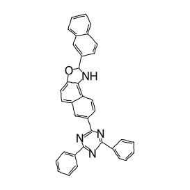 c1ccc(-c2nc(-c3ccccc3)nc(-c3ccc4c5c(ccc4c3)OC(c3ccc4ccccc4c3)N5)n2)cc1